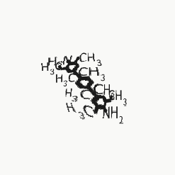 CCc1cc(C(C)(C)c2ccc(C(C)(C)c3cc(CC)c(N)c(CC)c3)cc2)cc(CC)c1N